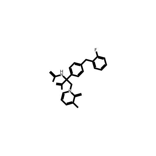 C=C(C)NC(CN1C=CC=C(C)C1=C)(C(=C)C)c1ccc(Cc2ccccc2F)cc1